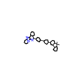 CC1(C)c2ccccc2-c2cc(-c3ccc(-c4ccc(-c5nc6c(nc7ccccn76)c6ccccc56)cc4)cc3)ccc21